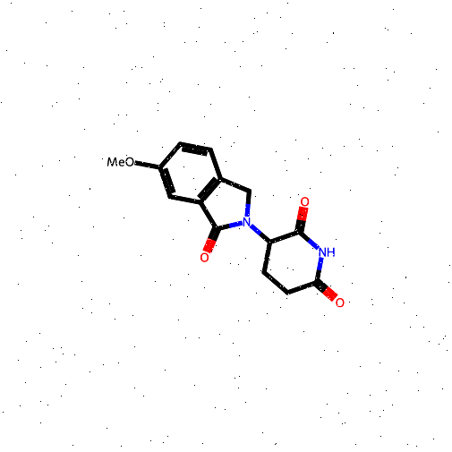 COc1ccc2c(c1)C(=O)N(C1CCC(=O)NC1=O)C2